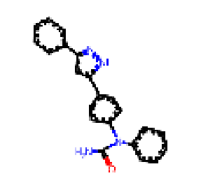 NC(=O)N(c1ccccc1)c1ccc(-c2cc(-c3ccccc3)n[nH]2)cc1